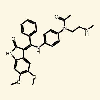 CNCCN(C(C)=O)c1ccc(NC(=C2C(=O)Nc3cc(OC)c(OC)cc32)c2ccccc2)cc1